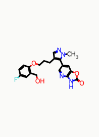 Cn1ncc(CCCOc2ccc(F)cc2CO)c1-c1cnc2[nH]c(=O)oc2c1